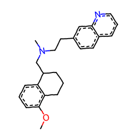 COc1cccc2c1CCCC2CN(C)CCc1ccc2cccnc2c1